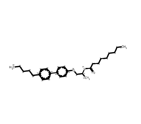 CCCCCCCCC(=O)OC(C)COc1ccc(-c2ccc(CCCCC)cc2)cc1